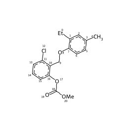 CCc1cc(C)ccc1OCc1c(Cl)cccc1OC(=O)OC